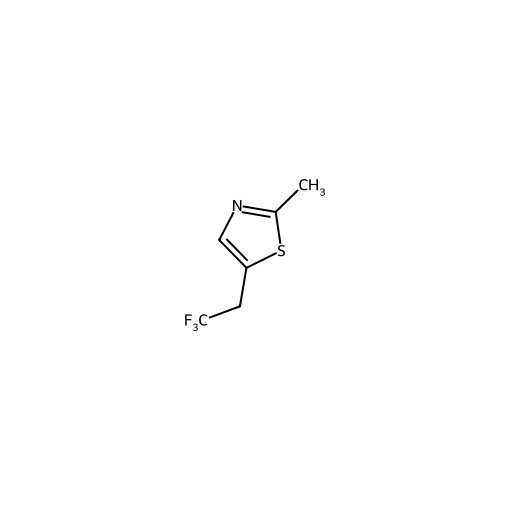 Cc1ncc(CC(F)(F)F)s1